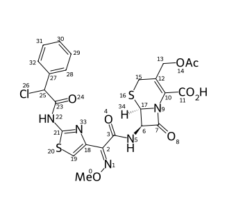 CON=C(C(=O)N[C@@H]1C(=O)N2C(C(=O)O)=C(COC(C)=O)CS[C@H]12)c1csc(NC(=O)C(Cl)c2ccccc2)n1